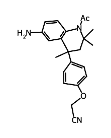 CC(=O)N1c2ccc(N)cc2C(C)(c2ccc(OCC#N)cc2)CC1(C)C